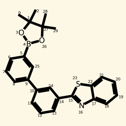 CC1(C)OB(c2cccc(-c3cccc(-c4nc5ccccc5s4)c3)c2)OC1(C)C